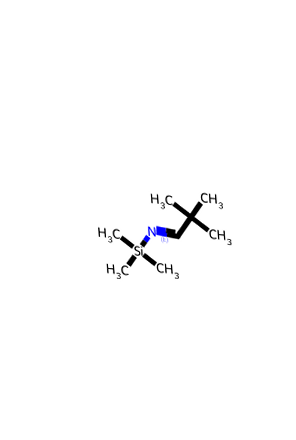 CC(C)(C)/C=N/[Si](C)(C)C